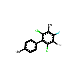 CC(C)(C)c1ccc(-c2c(Cl)c(C#N)c(F)c(C#N)c2Cl)cc1